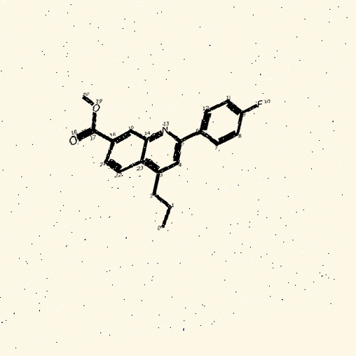 CCCc1cc(-c2ccc(F)cc2)nc2cc(C(=O)OC)ccc12